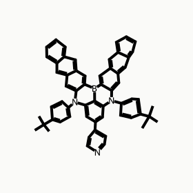 CC(C)(C)c1ccc(N2c3cc4cc5ccccc5cc4cc3B3c4cc5cc6ccccc6cc5cc4N(c4ccc(C(C)(C)C)cc4)c4cc(-c5ccncc5)cc2c43)cc1